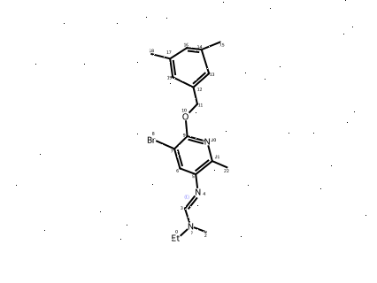 CCN(C)/C=N/c1cc(Br)c(OCc2cc(C)cc(C)c2)nc1C